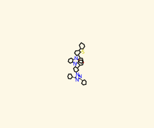 c1ccc(-c2nc(-c3ccccc3)n(-c3ccc4c(c3)c3ccccc3n4-c3ccccc3-n3c4ccccc4c4c5sc6ccccc6c5ccc43)n2)cc1